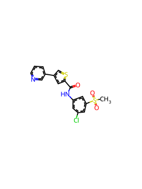 CS(=O)(=O)c1cc(Cl)cc(NC(=O)c2cc(-c3cccnc3)cs2)c1